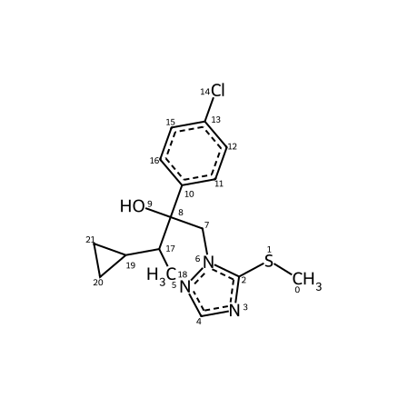 CSc1ncnn1CC(O)(c1ccc(Cl)cc1)C(C)C1CC1